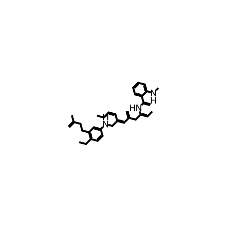 C=C(C)CCc1cc(NCC(/C=C\CC)=C/C(=C)C/C(=C/C)NC(=C)c2ccccc2NC)ccc1CC